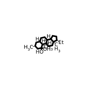 CC[C@H]1CC[C@H]2[C@@H]3CC[C@H]4C[C@@H](C)CC(O)(O)[C@]4(C)[C@H]3CC[C@]12C